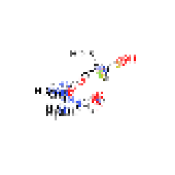 CN(CCCCCC(=O)ON1C(=O)CCC1=O)CCNC(=O)C(CCCC[N+](C)(C)C)NC(=O)C(CCCC[N+](C)(C)C)NC(=O)CCCOc1ccc(/C=C/C2=[N+]3C(=Cc4c(CCCSOOO)cc(-c5cccs5)n4[B-]3(F)F)C(CCCS(=O)(=O)O)=C2)cc1